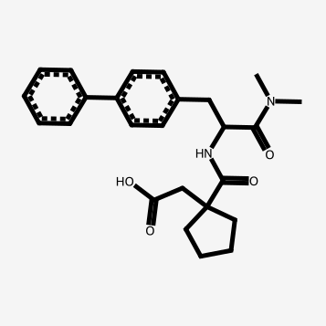 CN(C)C(=O)C(Cc1ccc(-c2ccccc2)cc1)NC(=O)C1(CC(=O)O)CCCC1